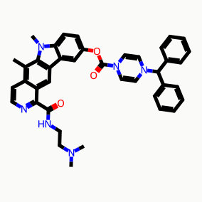 Cc1c2ccnc(C(=O)NCCN(C)C)c2cc2c3cc(OC(=O)N4C=CN(C(c5ccccc5)c5ccccc5)C=C4)ccc3n(C)c12